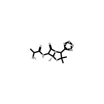 CC(N)C(=O)NC1C(=O)N2C(c3nnn[nH]3)C(C)(C)S[C@@H]12